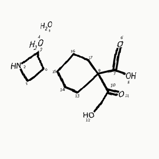 C1CNC1.O.O.O=C(O)C1(C(=O)O)CCCCC1